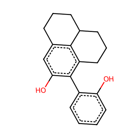 Oc1ccccc1-c1c(O)cc2c3c1CCCC3CCC2